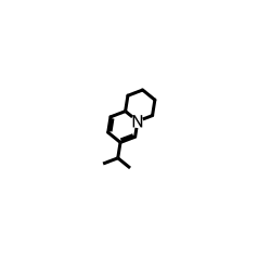 CC(C)C1=CN2CCCCC2C=C1